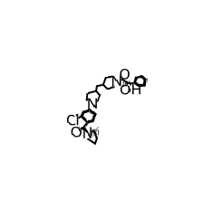 C[C@@H]1CCCN1C(=O)c1ccc(N2CCC(CC3CCN(C(=O)[C@H](O)c4ccccc4)CC3)CC2)cc1Cl